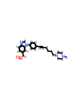 CN1CCN(CCCCC#Cc2ccc(-n3cnc4ccc(CO)cc43)cc2)CC1